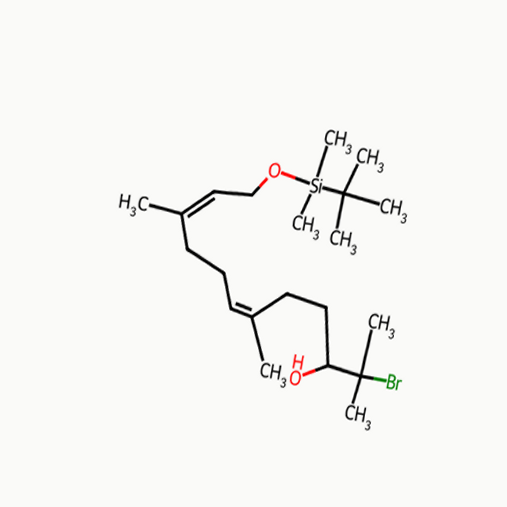 CC(=CCO[Si](C)(C)C(C)(C)C)CCC=C(C)CCC(O)C(C)(C)Br